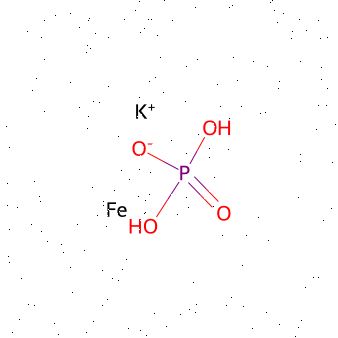 O=P([O-])(O)O.[Fe].[K+]